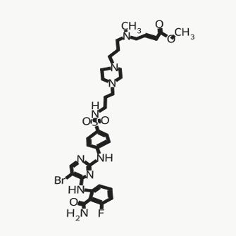 COC(=O)/C=C/CN(C)CCCN1CCN(CCCNS(=O)(=O)c2ccc(Nc3ncc(Br)c(Nc4cccc(F)c4C(N)=O)n3)cc2)CC1